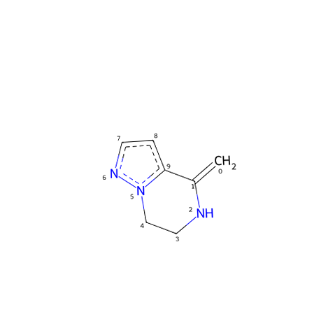 C=C1NCCn2nccc21